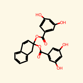 O=C(OC1(OC(=O)c2cc(O)cc(O)c2)C=Cc2ccccc2C1)c1cc(O)cc(O)c1